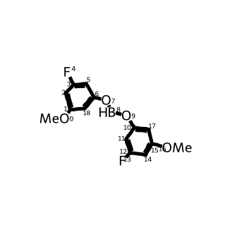 COc1cc(F)cc(OBOc2cc(F)cc(OC)c2)c1